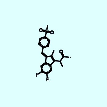 [CH2]C(=O)C(C)C1=C(C)C(=Cc2ccc(S(C)(=O)=O)cc2)c2cc(F)c(F)cc21